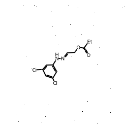 CCC(=O)OCC=NNc1cc(Cl)cc(Cl)c1